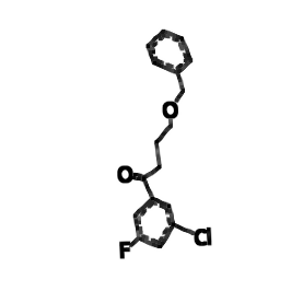 O=C(CCCOCc1ccccc1)c1cc(F)cc(Cl)c1